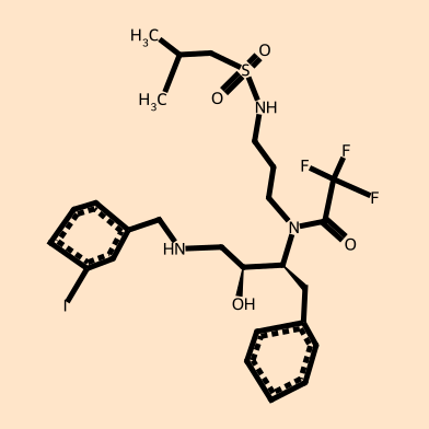 CC(C)CS(=O)(=O)NCCCN(C(=O)C(F)(F)F)[C@@H](Cc1ccccc1)[C@@H](O)CNCc1cccc(I)c1